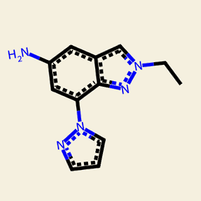 CCn1cc2cc(N)cc(-n3cccn3)c2n1